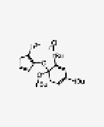 CCCCOC1(OC2=[C]([Ti+2])CC=C2)CC=C(C(C)(C)C)C=C1C(C)(C)C.[Cl-].[Cl-]